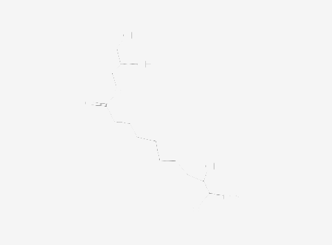 CCCCCCCCC(O)C(O)CCCCCCCC(=O)OCC(O)CO